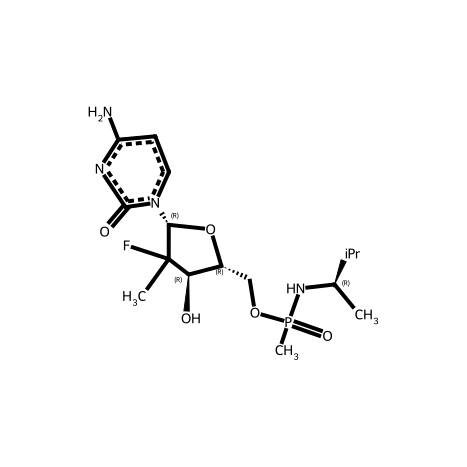 CC(C)[C@@H](C)NP(C)(=O)OC[C@H]1O[C@@H](n2ccc(N)nc2=O)C(C)(F)[C@@H]1O